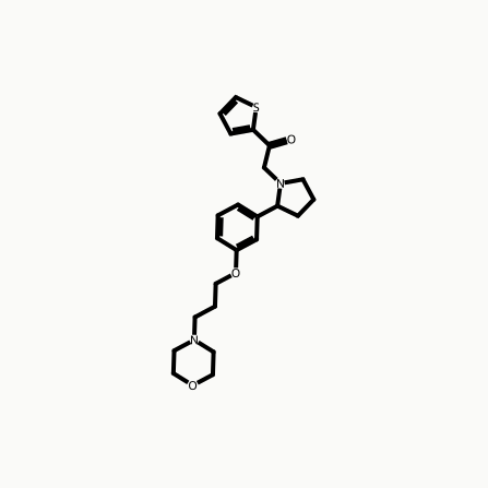 O=C(CN1CCCC1c1cccc(OCCCN2CCOCC2)c1)c1cccs1